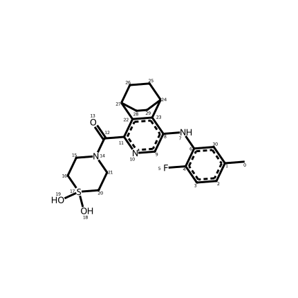 Cc1ccc(F)c(Nc2cnc(C(=O)N3CCS(O)(O)CC3)c3c2C2CCC3CC2)c1